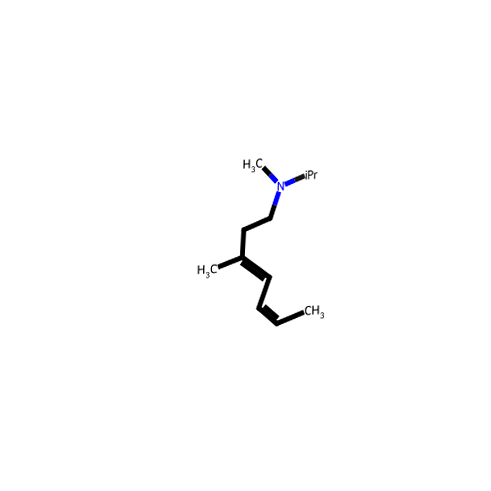 C/C=C\C=C(/C)CCN(C)C(C)C